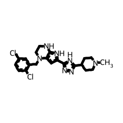 CN1CCC(c2nnc(-c3cc4c([nH]3)NCCN4Cc3cc(Cl)ccc3Cl)[nH]2)CC1